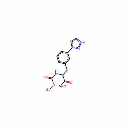 COC(=O)C(Cc1cccc(-c2cc[nH]n2)c1)NC(=O)OC(C)(C)C